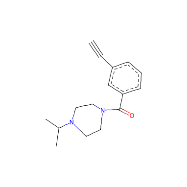 C#Cc1cccc(C(=O)N2CCN(C(C)C)CC2)c1